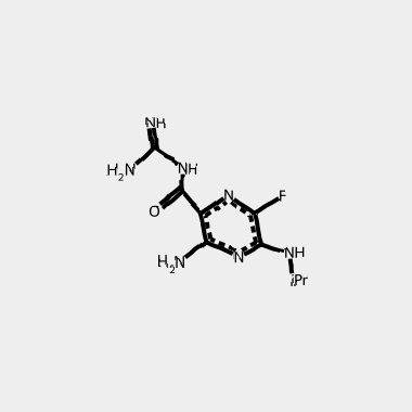 CC(C)Nc1nc(N)c(C(=O)NC(=N)N)nc1F